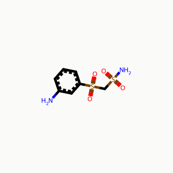 Nc1cccc(S(=O)(=O)CS(N)(=O)=O)c1